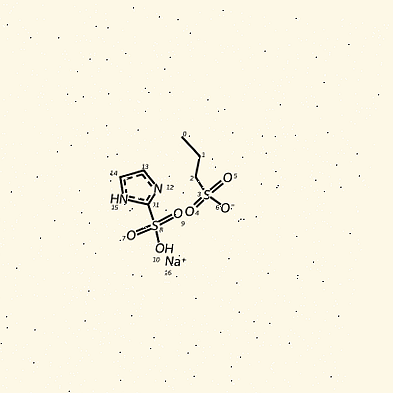 CCCS(=O)(=O)[O-].O=S(=O)(O)c1ncc[nH]1.[Na+]